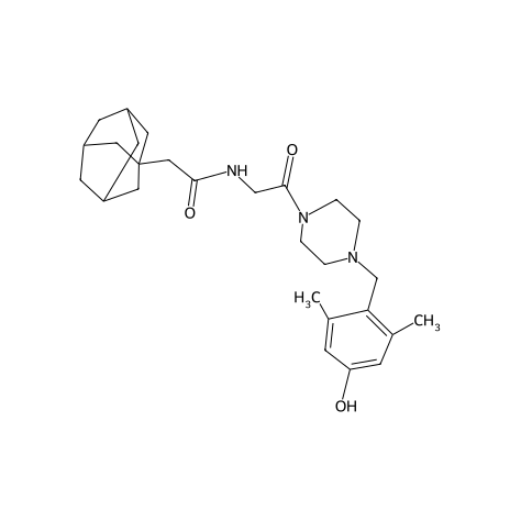 Cc1cc(O)cc(C)c1CN1CCN(C(=O)CNC(=O)CC23CC4CC(CC(C4)C2)C3)CC1